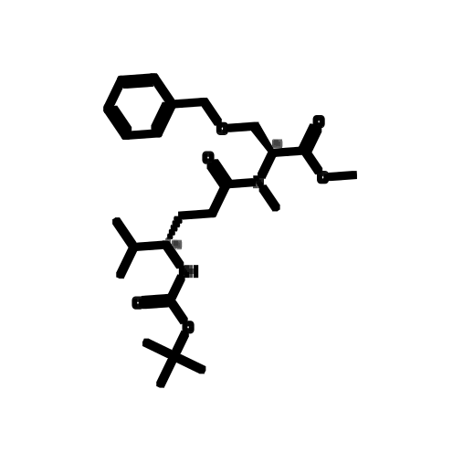 COC(=O)[C@H](COCc1ccccc1)N(C)C(=O)CC[C@H](NC(=O)OC(C)(C)C)C(C)C